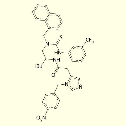 CCC(C)C(CN(Cc1cccc2ccccc12)C(=S)Nc1cccc(C(F)(F)F)c1)NC(=O)Cc1cncn1Cc1ccc([N+](=O)[O-])cc1